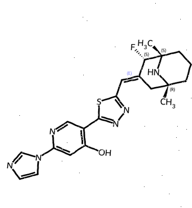 C[C@]12CCC[C@](C)(N1)[C@@H](F)/C(=C/c1nnc(-c3cnc(-n4ccnc4)cc3O)s1)C2